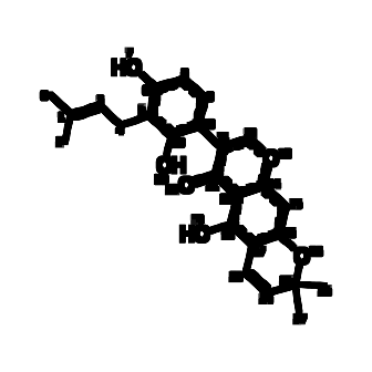 CC(C)=CCc1c(O)ccc(-c2coc3cc4c(c(O)c3c2=O)C=CC(C)(C)O4)c1O